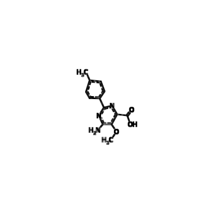 COc1c(N)nc(-c2ccc(C)cc2)nc1C(=O)O